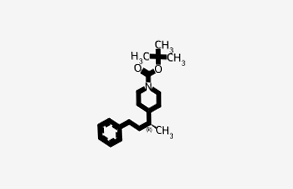 C[C@H](CCc1ccccc1)C1CCN(C(=O)OC(C)(C)C)CC1